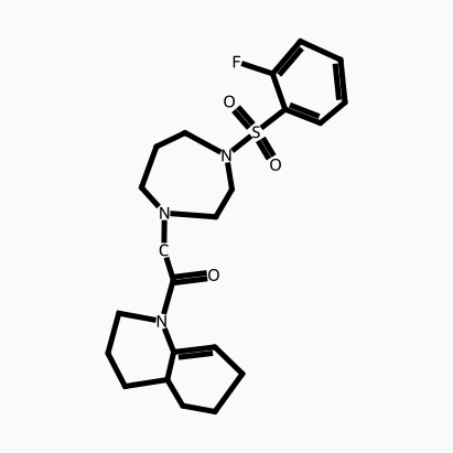 O=C(CN1CCCN(S(=O)(=O)c2ccccc2F)CC1)N1CCCC2CCCC=C21